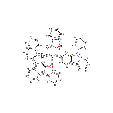 c1ccc(-n2c3ccccc3c3ccc(-c4nc(-n5c6c7ccccc7ccc6c6c7ccccc7c7c8ccccc8oc7c65)nc5c4oc4ccccc45)cc32)cc1